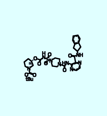 CC(C)(C)OC(=O)N1CCC[C@H](OC(=O)NS(=O)(=O)N2CCN(C(=O)Nc3nccnc3C(=O)NC3Cc4ccccc4C3)CC2)C1